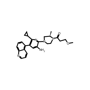 COCCC(=O)N1CCN(c2nc(C3CC3)c(-c3cccc4ncccc34)cc2N)C[C@H]1C